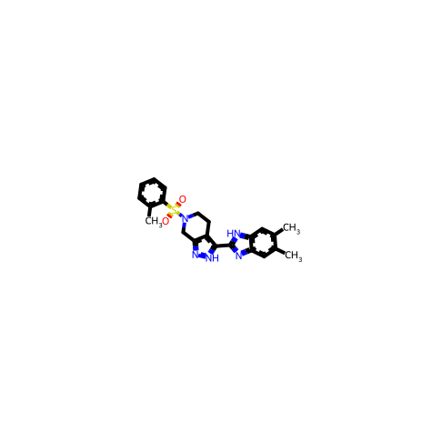 Cc1cc2nc(-c3[nH]nc4c3CCN(S(=O)(=O)c3ccccc3C)C4)[nH]c2cc1C